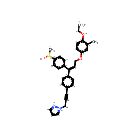 Cc1cc(OCC=C(c2ccc(C#CCn3cccn3)cc2)c2ccc([S+](C)[O-])cc2)ccc1OCC(=O)O